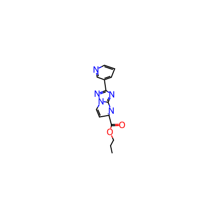 CCCOC(=O)c1ccn2nc(-c3cccnc3)nc2n1